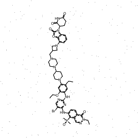 CCOc1cc(N2CCC(N3CCN(CC4CN(c5cccc6c5oc(=O)n6C5CCC(=O)NC5=O)C4)CC3)CC2)c(CC)cc1Nc1ncc(Br)c(Nc2ccc3c(=O)n(CC)ncc3c2P(C)(C)=O)n1